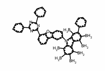 Bc1c(B)c(B)c2c(c1B)c1c(B)c(B)c(-c3ccccc3)c(B)c1n2-c1ccc2oc3c(-c4nc(-c5ccccc5)nc(-c5ccccc5)n4)cccc3c2c1